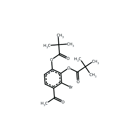 CC(=O)c1ccc(OC(=O)C(C)(C)C)c(OC(=O)C(C)(C)C)c1Br